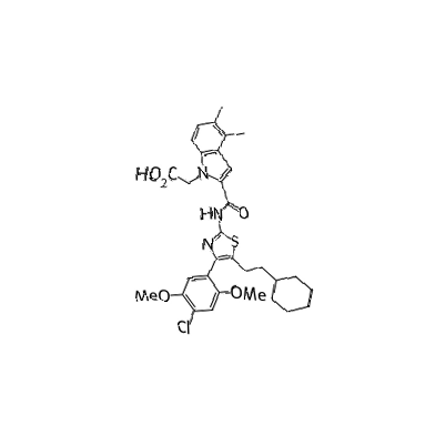 COc1cc(-c2nc(NC(=O)c3cc4c(C)c(C)ccc4n3CC(=O)O)sc2CCC2CCCCC2)c(OC)cc1Cl